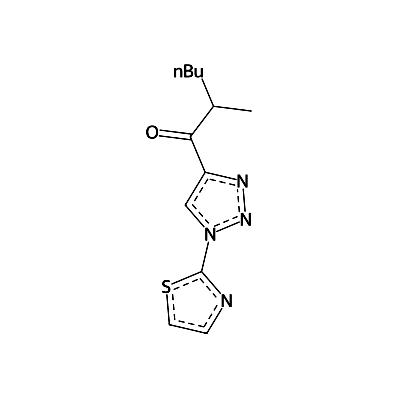 CCCCC(C)C(=O)c1cn(-c2nccs2)nn1